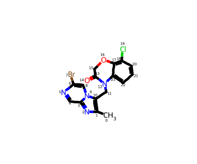 Cc1nc2cnc(Br)cn2c1CN1C(=O)COc2c(Cl)cccc21